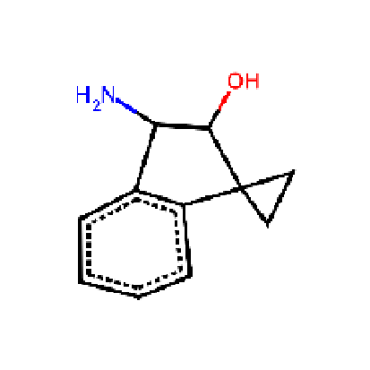 NC1c2ccccc2C2(CC2)C1O